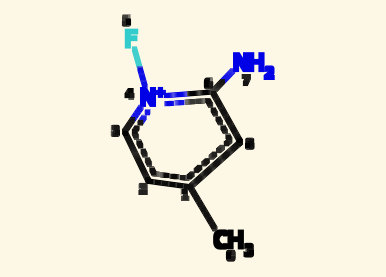 Cc1cc[n+](F)c(N)c1